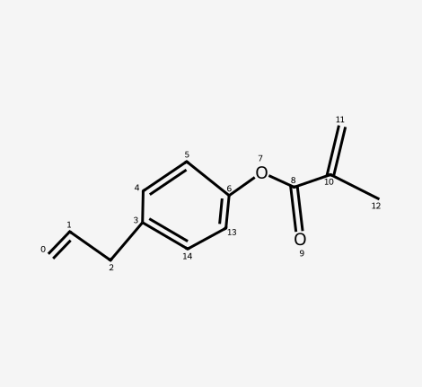 C=CCc1ccc(OC(=O)C(=C)C)cc1